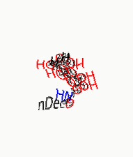 CCCCCCCCCCC(=O)NCCO[C@H]1OC(CO)[C@H](O[C@@H]2OC(CO)[C@@H]3O[C@H]3C2O)[C@@H](O)C1O